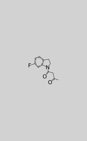 CC(=O)CC(=O)N1CCc2ccc(F)cc21